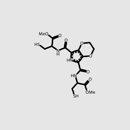 COC(=O)C(CS)NC(=O)c1[nH]c(C(=O)NC(CS)C(=O)OC)c2c1OCCO2